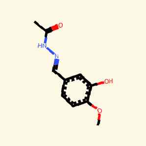 COc1ccc(C=NNC(C)=O)cc1O